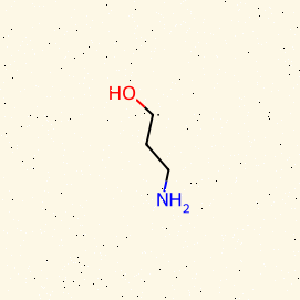 NCC[CH]O